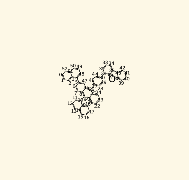 c1ccc2c(-c3ccc4c(-c5cccc6ccccc56)c5ccccc5c(-c5ccc(-c6cccc7c6oc6ccccc67)cc5)c4c3)cccc2c1